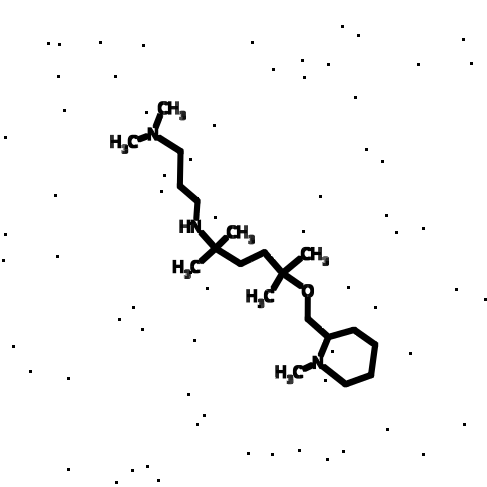 CN(C)CCCNC(C)(C)CCC(C)(C)OCC1CCCCN1C